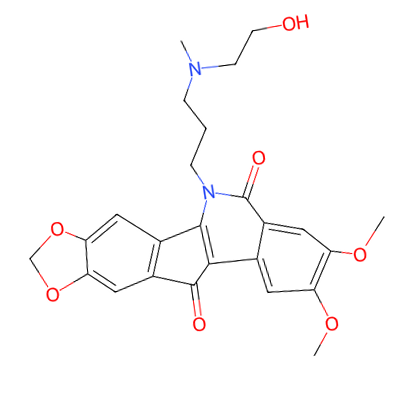 COc1cc2c3c(n(CCCN(C)CCO)c(=O)c2cc1OC)-c1cc2c(cc1C3=O)OCO2